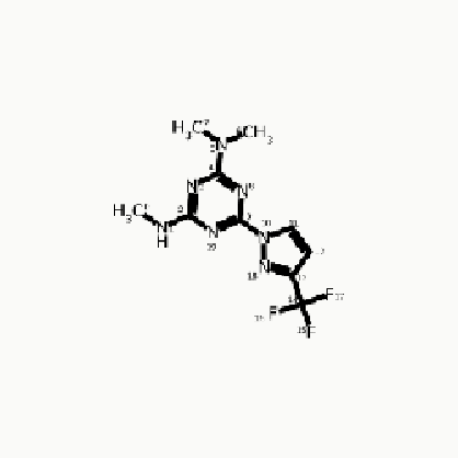 CNc1nc(N(C)C)nc(-n2ccc(C(F)(F)F)n2)n1